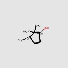 C[C@@H]1CC[C@@H](O)C1(C)C